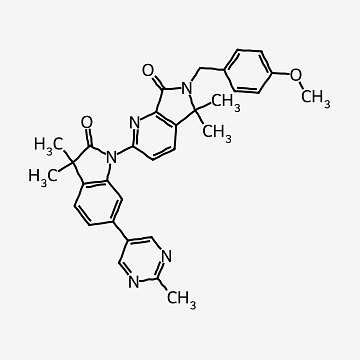 COc1ccc(CN2C(=O)c3nc(N4C(=O)C(C)(C)c5ccc(-c6cnc(C)nc6)cc54)ccc3C2(C)C)cc1